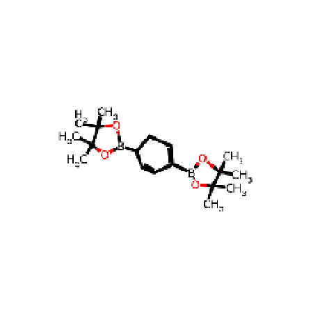 CC1(C)OB(C2=CCC(B3OC(C)(C)C(C)(C)O3)C=C2)OC1(C)C